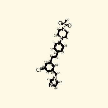 CS(=O)(=O)N1CCN(c2ccc(/C=C/c3cc(Cl)cc(Cn4ccnc4)c3)cc2)CC1